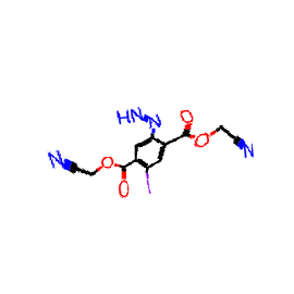 N#CCOC(=O)c1cc(N=N)c(C(=O)OCC#N)cc1I